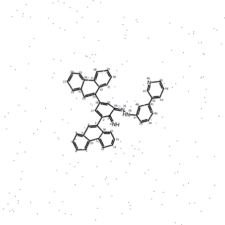 N=C1C(c2cc3ccccc3c3ccccc23)=CC(c2cc3ccccc3c3ccccc23)=C/C1=N/Nc1cccc(-c2cccnc2)c1